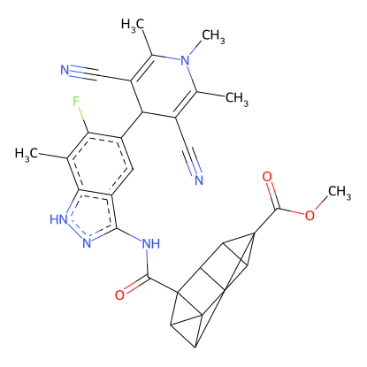 COC(=O)C12C3C1C1C3C3(C(=O)Nc4n[nH]c5c(C)c(F)c(C6C(C#N)=C(C)N(C)C(C)=C6C#N)cc45)C4C2C143